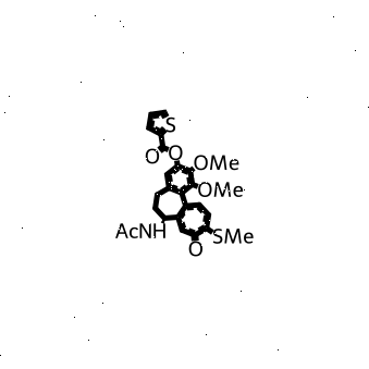 COc1c(OC(=O)c2cccs2)cc2c(c1OC)-c1ccc(SC)c(=O)cc1[C@@H](NC(C)=O)CC2